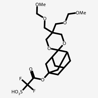 COCOCC1(COCOC)COC2(OC1)C1CC3CC2CC(OC(=O)C(F)(F)S(=O)(=O)O)(C3)C1